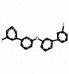 Ic1cccc(-c2cccc(Oc3cccc(-c4cccc(I)c4)c3)c2)c1